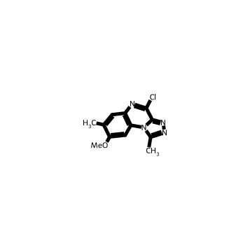 COc1cc2c(cc1C)nc(Cl)c1nnc(C)n12